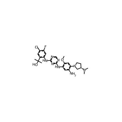 COc1cc(N2CC[C@@H](N(C)C)C2)c(N)cc1Nc1ncnc(Nc2cc(F)c(Cl)cc2C(C)(C)O)n1